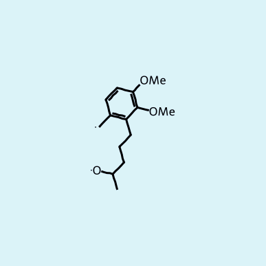 [CH2]c1ccc(OC)c(OC)c1CCCC(C)[O]